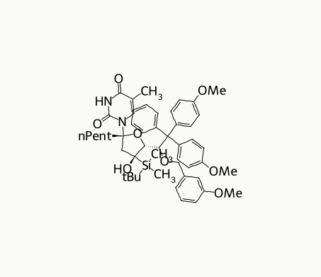 CCCCC[C@]1(n2cc(C)c(=O)[nH]c2=O)C[C@@](O)([Si](C)(C)C(C)(C)C)[C@@H](C(OCc2cccc(OC)c2)C(c2ccccc2)(c2ccc(OC)cc2)c2ccc(OC)cc2)O1